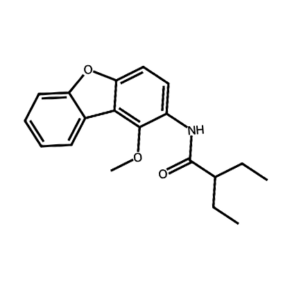 CCC(CC)C(=O)Nc1ccc2oc3ccccc3c2c1OC